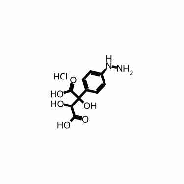 Cl.NNc1ccc(C(O)(C(=O)O)C(O)C(=O)O)cc1